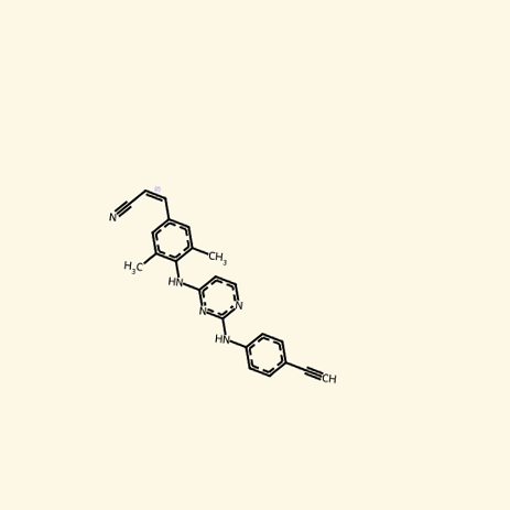 C#Cc1ccc(Nc2nccc(Nc3c(C)cc(/C=C\C#N)cc3C)n2)cc1